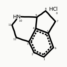 Cl.c1cc2c3c(c1)CCC3NCC2